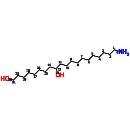 NCCCCCCCCCCCC(O)CCCCCCCCO